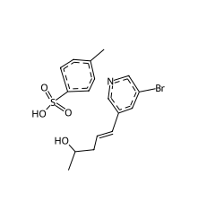 CC(O)CC=Cc1cncc(Br)c1.Cc1ccc(S(=O)(=O)O)cc1